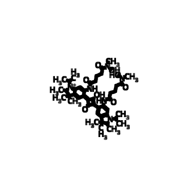 CC(C)N1c2cc(NC(=O)CCCC(=O)N(C)O)c(C3=C(O)/C(=c4/cc5c(cc4NC(=O)CCCC(=O)N(C)O)=[N+](C(C)C)C(C)C5(C)C)C3=O)cc2C(C)(C)C1C